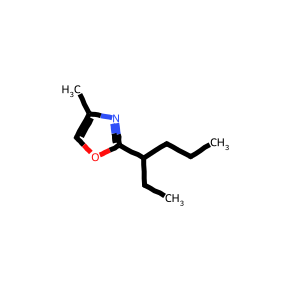 CCCC(CC)c1nc(C)co1